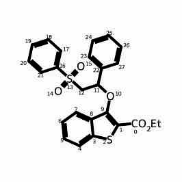 CCOC(=O)c1sc2ccccc2c1OC(CS(=O)(=O)c1ccccc1)c1ccccc1